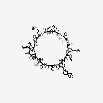 C/C=C/C[C@@H](C)[C@@H](O)[C@H]1C(=O)N[C@@H](CC)C(=O)N(C)[C@H](C)C(=O)N(C)[C@@H]([C@H](C)CN2CCC3(COC3)C2)C(=O)N[C@@H](C(C)C)C(=O)N(C)[C@@H](CCC(C)C)C(=O)N[C@@H](C)C(=O)N[C@H](C)C(=O)N(C)[C@@H](CC(C)C)C(=O)N(C)[C@@H](CCC(C)C)C(=O)N(C)[C@@H](C(C)C)C(=O)N1C